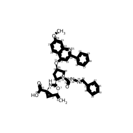 C=CC1C[C@@]1(NC(=O)[C@@H]1C[C@@H](Oc2cc(-c3ccccc3)nc3cc(OC)ccc23)CN1C(=O)NNCc1ccccc1)C(=O)O